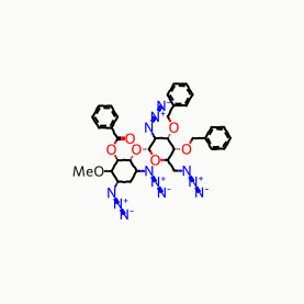 COC1[C@@H](OC(=O)c2ccccc2)[C@H](O[C@H]2OC(CN=[N+]=[N-])[C@@H](OCc3ccccc3)[C@@H](OCc3ccccc3)C2N=[N+]=[N-])C(N=[N+]=[N-])C[C@H]1N=[N+]=[N-]